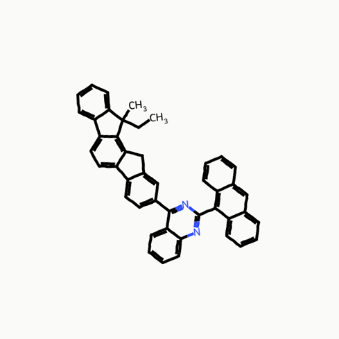 CCC1(C)c2ccccc2-c2ccc3c(c21)Cc1cc(-c2nc(-c4c5ccccc5cc5ccccc45)nc4ccccc24)ccc1-3